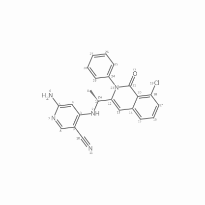 C[C@H](Nc1cc(N)ncc1C#N)c1cc2cccc(Cl)c2c(=O)n1-c1ccccc1